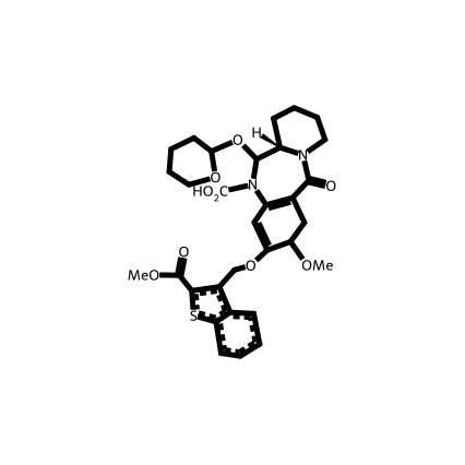 COC(=O)c1sc2ccccc2c1COC1=CC2=C(CC1OC)C(=O)N1CCCC[C@H]1C(OC1CCCCO1)N2C(=O)O